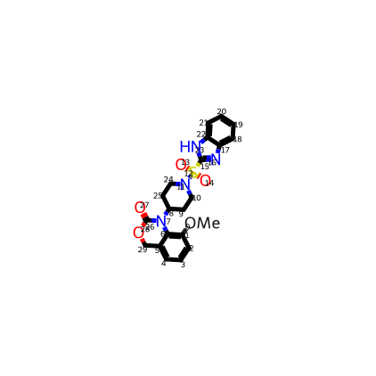 COc1cccc2c1N(C1CCN(S(=O)(=O)c3nc4ccccc4[nH]3)CC1)C(=O)OC2